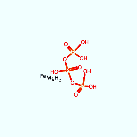 O=P(O)(O)OP(=O)(O)OP(=O)(O)O.[Fe].[MgH2]